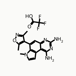 Cc1noc(C)c1-c1cc2nc(N)nc(N)c2c2ccn(C)c12.O=C(O)C(F)(F)F